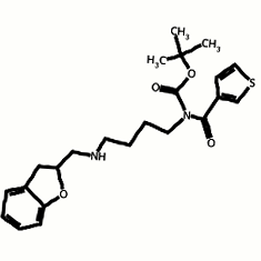 CC(C)(C)OC(=O)N(CCCCNCC1Cc2ccccc2O1)C(=O)c1ccsc1